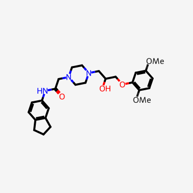 COc1ccc(OC)c(OCC(O)CN2CCN(CC(=O)Nc3ccc4c(c3)CCC4)CC2)c1